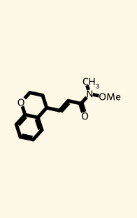 CON(C)C(=O)/C=C/C1CCOc2ccccc21